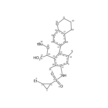 CCC1CC1S(=O)(=O)Nc1cc(C)c(-c2ccc3c(c2)CCCO3)c(C(OC(C)(C)C)C(=O)O)c1C